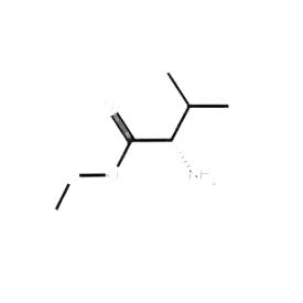 CSOC(=O)[C@@H](N)C(C)C